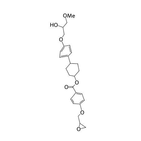 COCC(O)COc1ccc(C2CCC(OC(=O)c3ccc(OCC4CO4)cc3)CC2)cc1